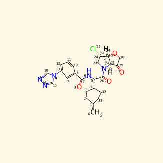 C[C@H]1CC[C@H](C(NC(=O)c2cccc(-n3cnnc3)c2)C(=O)N2C[C@H](Cl)[C@H]3OCC(=O)[C@H]32)CC1